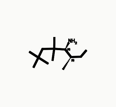 CC[C@H](C)[C@@H](N)C(C)(C)CC(C)(C)C